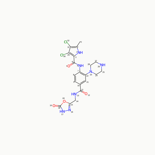 Cc1[nH]c(C(=O)Nc2ccc(C(=O)NCc3n[nH]c(=O)o3)cc2N2CCNCC2)c(Cl)c1Cl